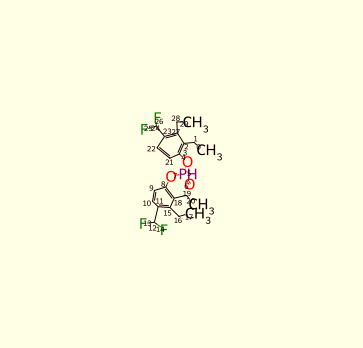 CCc1c(O[PH](=O)Oc2ccc(C(F)F)c(CC)c2CC)ccc(C(F)F)c1CC